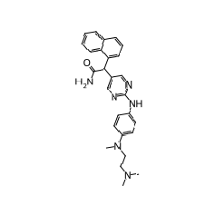 CN(C)CCN(C)c1ccc(Nc2ncc(C(C(N)=O)c3cccc4ccccc34)cn2)cc1